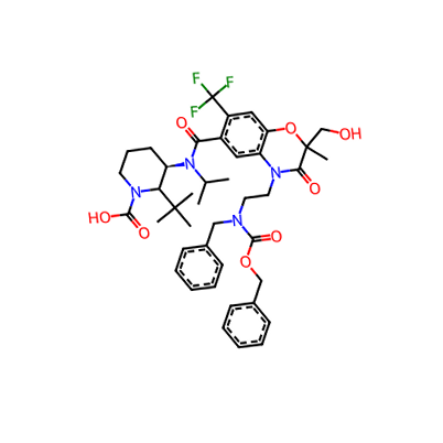 CC(C)N(C(=O)c1cc2c(cc1C(F)(F)F)OC(C)(CO)C(=O)N2CCN(Cc1ccccc1)C(=O)OCc1ccccc1)[C@@H]1CCCN(C(=O)O)C1C(C)(C)C